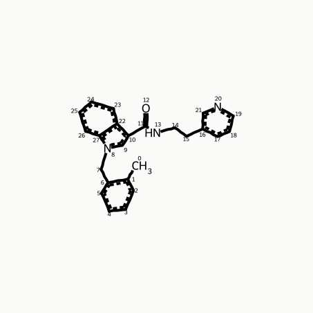 Cc1ccccc1Cn1cc(C(=O)NCCc2cccnc2)c2ccccc21